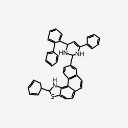 C1=CCC(C2Nc3c(ccc4ccc5cc(C6NC(c7ccccc7)=CC(c7ccccc7-c7ccccc7)N6)ccc5c34)S2)C=C1